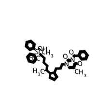 Cc1cn(CCCC2=CC=CC2[C@@H](C)CCCC(C)(C)[Si](O)(c2ccccc2)c2ccccc2)c(=O)n(C(=O)c2ccccc2)c1=O